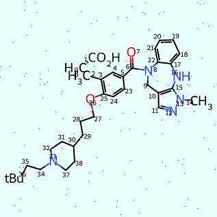 CC(=O)O.Cc1cc(C(=O)N2Cc3cnn(C)c3Nc3ccccc32)ccc1OCCCC1CCN(CCC(C)(C)C)CC1